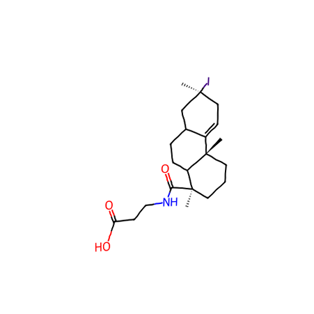 C[C@]1(I)CC=C2C(CCC3[C@](C)(C(=O)NCCC(=O)O)CCC[C@@]23C)C1